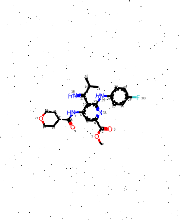 COC(=O)c1cc(NC(=O)C2CCOCC2)c(C(=N)C(C)C)c(Nc2ccc(F)cc2)n1